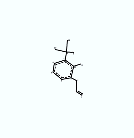 C=CCc1cccc(C(C)(C)C)c1C